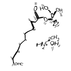 C=C.CCCCCCCCCCCCCCCCCC(=O)OP(=O)(O)O.O